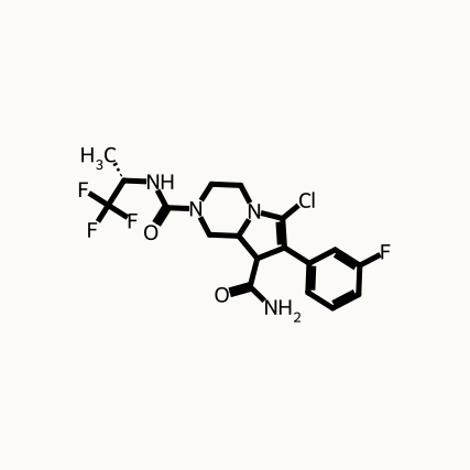 C[C@H](NC(=O)N1CCN2C(Cl)=C(c3cccc(F)c3)C(C(N)=O)C2C1)C(F)(F)F